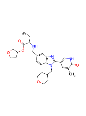 Cc1cc(-c2nc3cc(CNC(CC(C)C)C(=O)OC4CCOC4)ccc3n2CC2CCOCC2)c[nH]c1=O